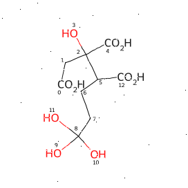 O=C(O)CC(O)(C(=O)O)C(CCC(O)(O)O)C(=O)O